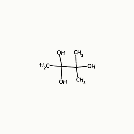 [CH2]C(O)(O)C(C)(C)O